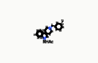 CC(=O)NN1CC2(CCN(C[C@@H]3CCC[C@@H](C)C3)CC2)c2ccccc21